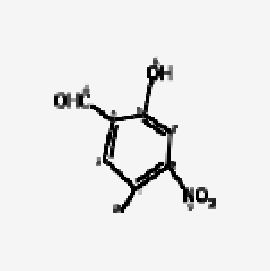 Cc1cc(C=O)c(O)cc1[N+](=O)[O-]